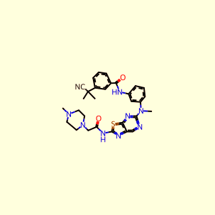 CN1CCN(CC(=O)Nc2nc3cnc(N(C)c4cccc(NC(=O)c5cccc(C(C)(C)C#N)c5)c4)nc3s2)CC1